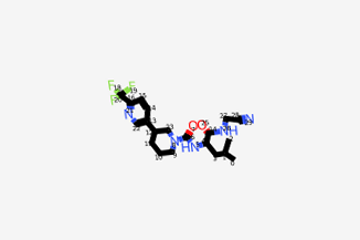 CC(C)CC(NC(=O)N1CCCC(c2ccc(C(F)(F)F)nc2)C1)C(=O)NCC#N